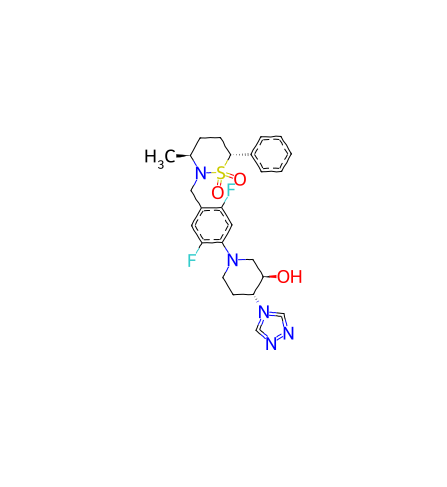 C[C@H]1CC[C@H](c2ccccc2)S(=O)(=O)N1Cc1cc(F)c(N2CC[C@@H](n3cnnc3)[C@H](O)C2)cc1F